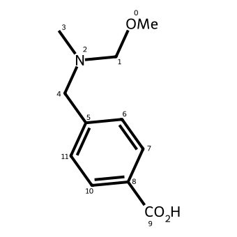 COCN(C)Cc1ccc(C(=O)O)cc1